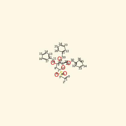 C=C(C)CS(=O)(=O)C1C[C@@H](OCc2ccccc2)[C@H](OCc2ccccc2)[C@@H](COCc2ccccc2)O1